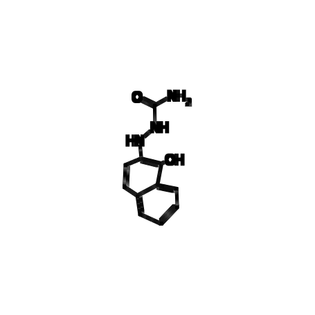 NC(=O)NNc1ccc2ccccc2c1O